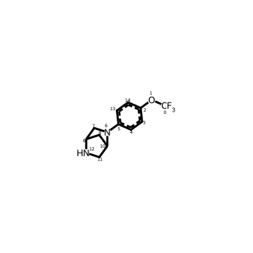 FC(F)(F)Oc1ccc(N2CC3CC2CN3)cc1